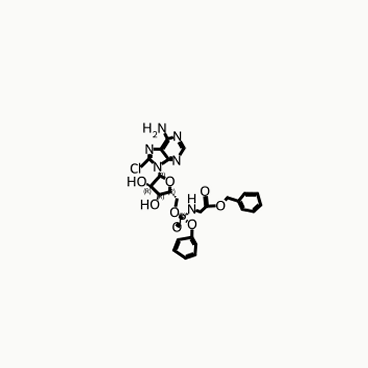 Nc1ncnc2c1nc(Cl)n2[C@@H]1O[C@H](CO[P@](=O)(NCC(=O)OCc2ccccc2)Oc2ccccc2)[C@H](O)[C@H]1O